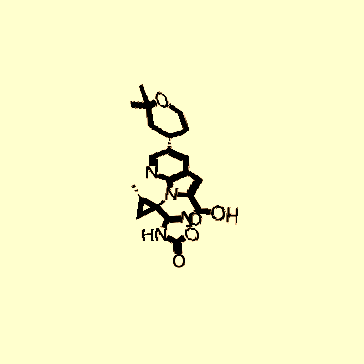 C[C@H]1C[C@]1(c1noc(=O)[nH]1)n1c(C(=O)O)cc2cc([C@H]3CCOC(C)(C)C3)cnc21